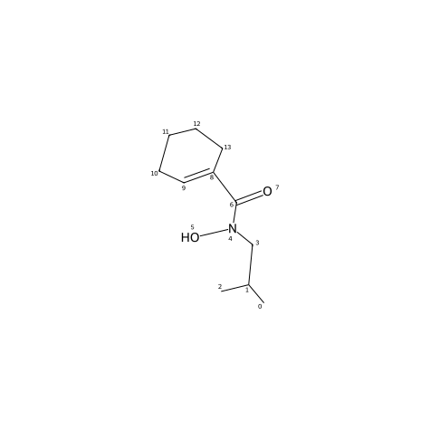 CC(C)CN(O)C(=O)C1=CCCCC1